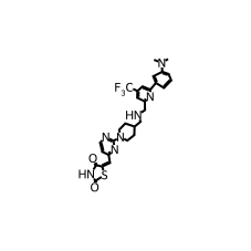 CN(C)c1cccc(-c2cc(C(F)(F)F)cc(CNCC3CCN(c4nccc(/C=C5/SC(=O)NC5=O)n4)CC3)n2)c1